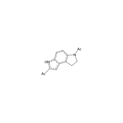 CC(=O)c1cc2c3c(ccc2[nH]1)N(C(C)=O)CC3